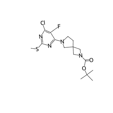 CSc1nc(Cl)c(F)c(N2CCC3(CN(C(=O)OC(C)(C)C)C3)C2)n1